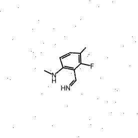 CNc1ccc(C)c(F)c1C=N